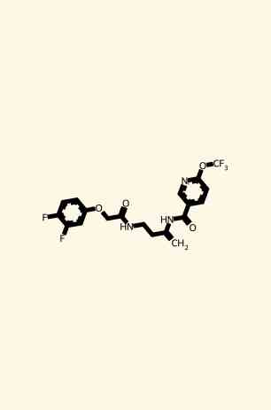 C=C(CCNC(=O)COc1ccc(F)c(F)c1)NC(=O)c1ccc(OC(F)(F)F)nc1